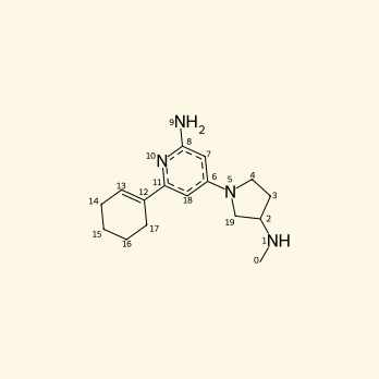 CNC1CCN(c2cc(N)nc(C3=CCCCC3)c2)C1